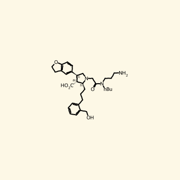 CCCCN(CCCN)C(=O)CN1C[C@H](c2ccc3c(c2)CCO3)[C@@H](C(=O)O)[C@@H]1CCCc1ccccc1CO